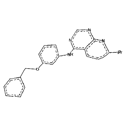 CC(C)c1ccc2c(Nc3cccc(OCc4ccccc4)c3)ncnc2n1